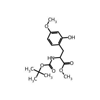 COC(=O)C(Cc1ccc(OC)cc1O)NC(=O)OC(C)(C)C